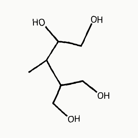 CC(C(O)CO)C(CO)CO